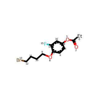 CCC(=O)Oc1ccc(OCCCCBr)c(F)c1